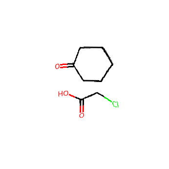 O=C(O)CCl.O=C1CCCCC1